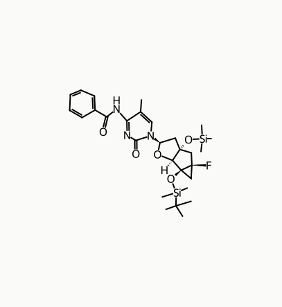 Cc1cn([C@H]2C[C@@]3(O[Si](C)(C)C)C[C@]4(F)C[C@]4(O[Si](C)(C)C(C)(C)C)[C@H]3O2)c(=O)nc1NC(=O)c1ccccc1